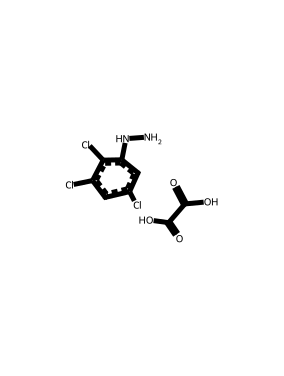 NNc1cc(Cl)cc(Cl)c1Cl.O=C(O)C(=O)O